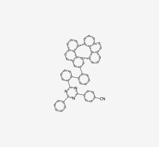 N#Cc1ccc(-c2nc(-c3ccccc3)nc(-c3ccccc3-c3ccccc3-c3cc4ccc5cccc6c7cccc8ccc9cccc(c(c3)c4c56)c9c87)n2)cc1